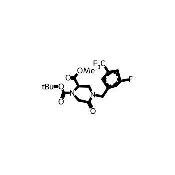 COC(=O)C1CN(Cc2cc(F)cc(C(F)(F)F)c2)C(=O)CN1C(=O)OC(C)(C)C